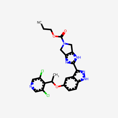 CC(Oc1ccc2[nH]nc(-c3nc4c([nH]3)CN(C(=O)OCCC#N)C4)c2c1)c1c(Cl)cncc1Cl